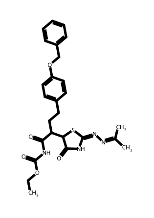 CCOC(=O)NC(=O)C(CCc1ccc(OCc2ccccc2)cc1)C1SC(=NN=C(C)C)NC1=O